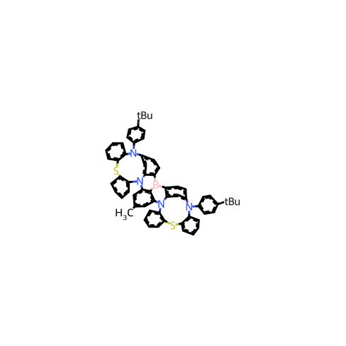 Cc1cc2c3c(c1)N1c4ccccc4Sc4ccccc4N(c4ccc(C(C)(C)C)cc4)c4ccc(c1c4)B3c1ccc3cc1N2c1ccccc1Sc1ccccc1N3c1ccc(C(C)(C)C)cc1